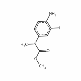 COC(=O)N(C)c1ccc(N)c(I)c1